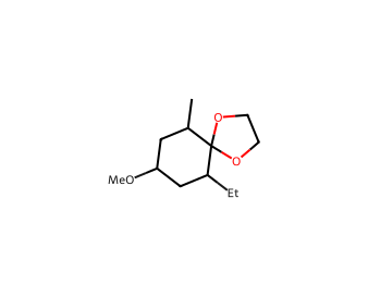 CCC1CC(OC)CC(C)C12OCCO2